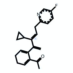 C=C(C1=CCCC=C1C(C)=O)/C(=C/Cc1ccc(F)cn1)C1CC1